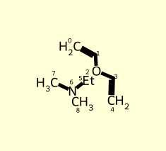 C=COC=C.CCN(C)C